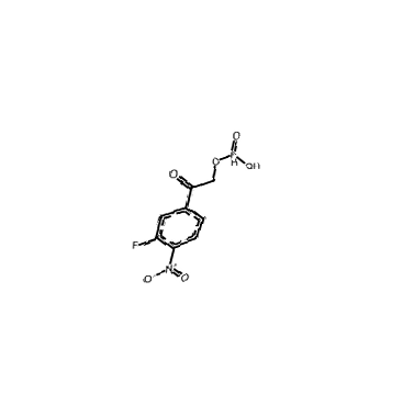 O=C(CO[PH](=O)O)c1ccc([N+](=O)[O-])c(F)c1